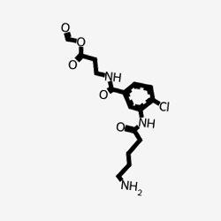 NCCCCC(=O)Nc1cc(C(=O)NCCC(=O)OC=O)ccc1Cl